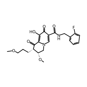 COCCC[C@@H]1C(=O)c2c(O)c(=O)c(C(=O)NCc3ccccc3F)cn2C[C@@H]1OC